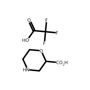 O=C(O)C(F)(F)F.O=C(O)C1CNCCO1